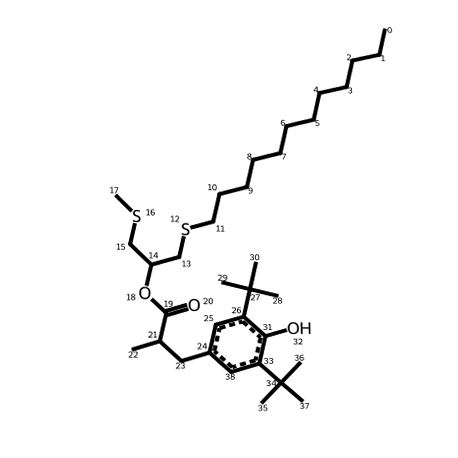 CCCCCCCCCCCCSCC(CSC)OC(=O)C(C)Cc1cc(C(C)(C)C)c(O)c(C(C)(C)C)c1